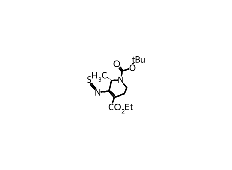 CCOC(=O)C1=C(N=C=S)[C@H](C)N(C(=O)OC(C)(C)C)CC1